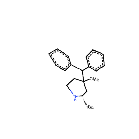 COC1(C(c2ccccc2)c2ccccc2)CCN[C@@H](C(C)(C)C)C1